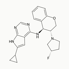 F[C@H]1CCN([C@H]2COc3ccccc3[C@@H]2Nc2ncnc3[nH]c(C4CC4)cc23)C1